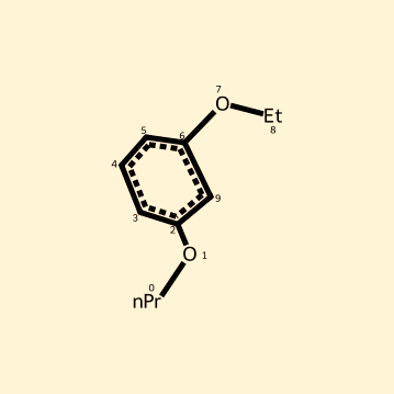 CCCOc1c[c]cc(OCC)c1